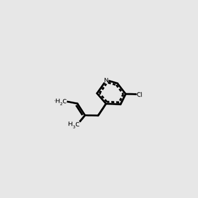 [CH2]C=C(C)Cc1cncc(Cl)c1